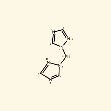 B(n1cncn1)n1cncn1